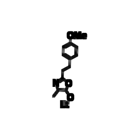 CCOc1oc(CCc2ccc(OC)cc2)nc1C